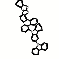 c1ccc(-c2cccc3c2sc2nc4ccccc4n23)c(-c2ccccc2-n2c3ccccc3c3cc(-n4c5ccccc5c5ccccc54)ccc32)c1